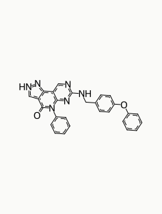 O=c1c2c[nH]nc2c2cnc(NCc3ccc(Oc4ccccc4)cc3)nc2n1-c1ccccc1